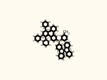 Cc1cccc(N(c2ccc3c(c2)C2(c4ccccc4-c4ccccc42)c2ccccc2-3)c2ccc3c(c2)c2ccccc2c2c(-c4ccccc4)cc(-c4ccccc4)c(C4=CC=CCC4)c32)c1